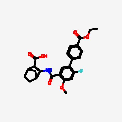 CCOC(=O)c1ccc(-c2cc(C(=O)NC3C4CCC(C4)C3C(=O)O)c(OC)cc2F)cc1